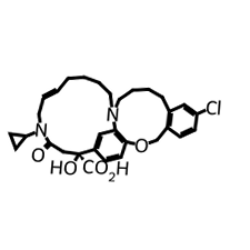 O=C1C[C@](O)(C(=O)O)c2ccc3c(c2)N(CCCC/C=C/CN1C1CC1)CCCCc1cc(Cl)ccc1CO3